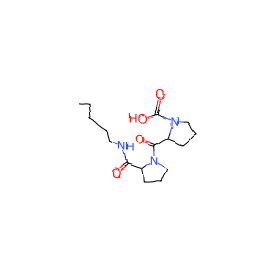 CCCCCNC(=O)C1CCCN1C(=O)C1CCCN1C(=O)O